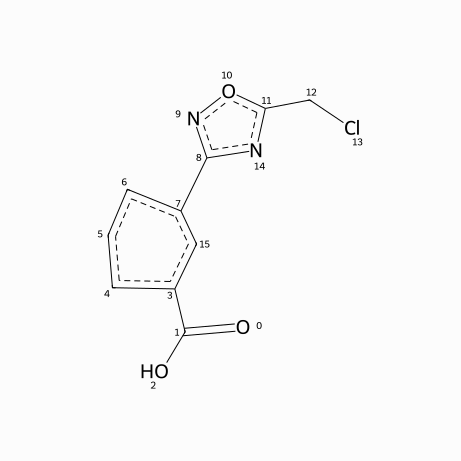 O=C(O)c1cccc(-c2noc(CCl)n2)c1